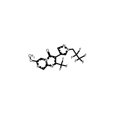 COc1cn2c(=O)c(-c3cnn(CC(F)(F)C(F)(F)F)c3)c(C(F)(F)F)nc2cn1